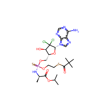 CC(C)OC(=O)[C@@H](C)N[P@@](=S)(OCCSC(=O)C(C)(C)C)OC[C@H]1O[C@@H](n2cnc3c(N)ncnc32)C(Cl)(Cl)[C@@H]1O